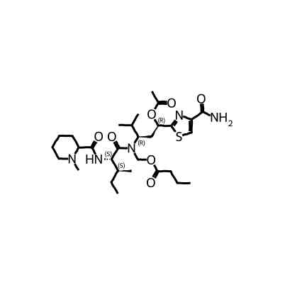 CCCC(=O)OCN(C(=O)[C@@H](NC(=O)C1CCCCN1C)[C@@H](C)CC)[C@H](C[C@@H](OC(C)=O)c1nc(C(N)=O)cs1)C(C)C